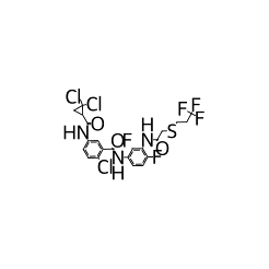 O=C(CSCCC(F)(F)F)Nc1c(F)ccc(NC(=O)c2cc(NC(=O)C3CC3(Cl)Cl)ccc2Cl)c1F